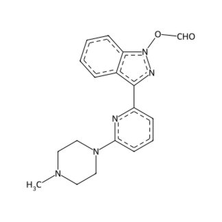 CN1CCN(c2cccc(-c3nn(OC=O)c4ccccc34)n2)CC1